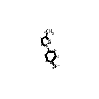 Cc1ccn(-c2ccc(C(C)C)cc2)n1